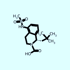 CC(C)(C)C[C@H]1c2cccc(NS(C)(=O)=O)c2CCN1C(=O)O